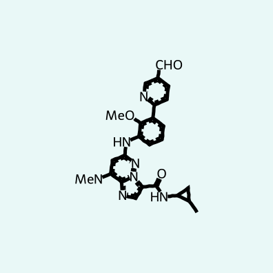 CNc1cc(Nc2cccc(-c3ccc(C=O)cn3)c2OC)nn2c(C(=O)NC3CC3C)cnc12